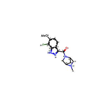 COc1ccc2c(C(=O)N3CC4CC3CN4C)n[nH]c2c1F